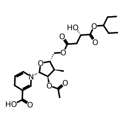 CCC(CC)OC(=O)[C@@H](O)CC(=O)OC[C@H]1O[C@@H](N2C=CCC(C(=O)O)=C2)[C@H](OC(C)=O)[C@@H]1C